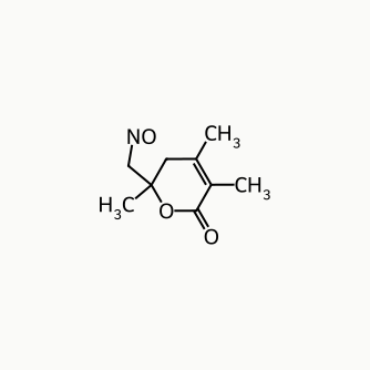 CC1=C(C)C(=O)OC(C)(CN=O)C1